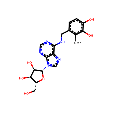 COc1c(CNc2ncnc3c2ncn3[C@@H]2O[C@H](CO)[C@@H](O)[C@H]2O)ccc(O)c1O